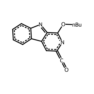 CCCCOc1nc(=C=O)cc2c1=Nc1ccccc1-2